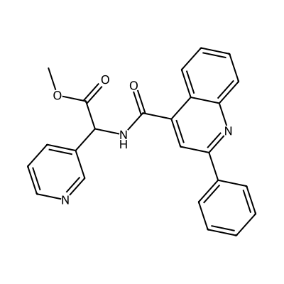 COC(=O)C(NC(=O)c1cc(-c2ccccc2)nc2ccccc12)c1cccnc1